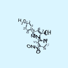 Cc1ccc(-c2cc(O)n(-c3cc(C(=O)N=O)ccn3)n2)cc1